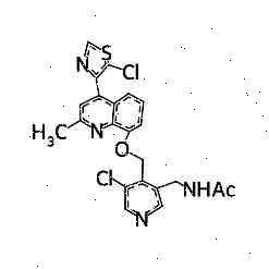 CC(=O)NCc1cncc(Cl)c1COc1cccc2c(-c3ncsc3Cl)cc(C)nc12